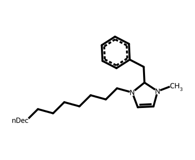 CCCCCCCCCCCCCCCCCN1C=CN(C)C1Cc1ccccc1